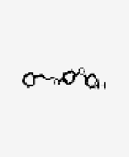 c1cc(OC2CCNCC2)ccc1OCCCC1CCCCC1